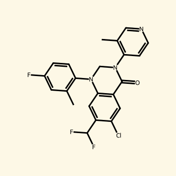 Cc1cnccc1N1CN(c2ccc(F)cc2C)c2cc(C(F)F)c(Cl)cc2C1=O